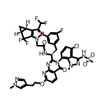 Cn1cc(CCOc2ccc3c(=O)n(-c4ccc(Cl)c5c(NS(C)(=O)=O)nn(C)c45)c([C@H](Cc4cc(F)cc(F)c4)NC(=O)Cn4nc(C(F)F)c5c4C(F)(F)[C@@H]4C[C@H]54)nc3n2)cn1